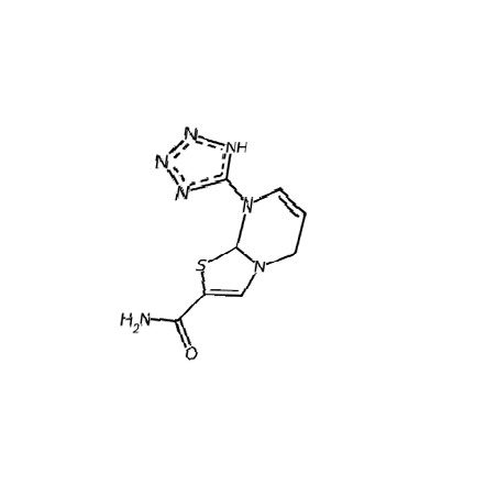 NC(=O)C1=CN2CC=CN(c3nnn[nH]3)C2S1